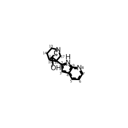 OC1(c2cc3cccnc3[nH]2)CN2CCC1CC2